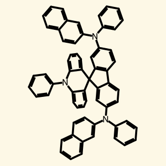 c1ccc(N(c2ccc3c(c2)C2(c4cc(N(c5ccccc5)c5ccc6ccccc6c5)ccc4-3)c3ccccc3N(c3ccccc3)c3ccccc32)c2ccc3ccccc3c2)cc1